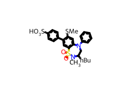 CCCCC1CN(c2ccccc2)c2cc(SC)c(-c3ccc(S(=O)(=O)O)cc3)cc2S(=O)(=O)N1C